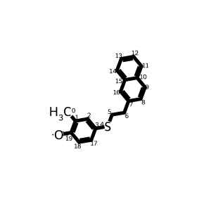 Cc1cc(SCCc2ccc3ccccc3c2)ccc1[O]